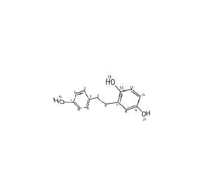 Oc1ccc(CCc2cc(O)ccc2O)cc1